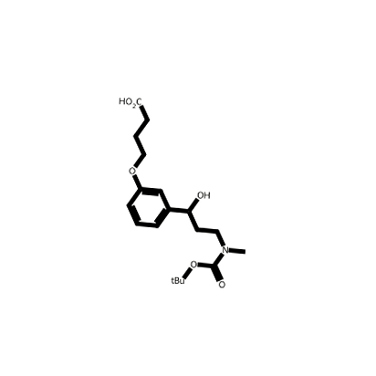 CN(CCC(O)c1cccc(OCCCC(=O)O)c1)C(=O)OC(C)(C)C